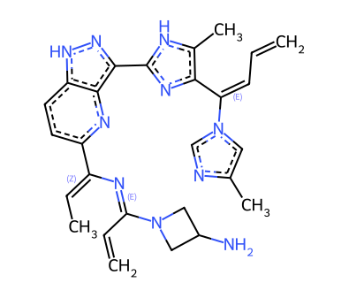 C=C/C=C(\c1nc(-c2n[nH]c3ccc(C(=C/C)/N=C(\C=C)N4CC(N)C4)nc23)[nH]c1C)n1cnc(C)c1